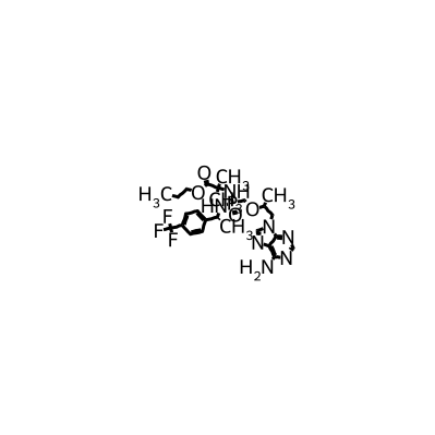 CCCOC(=O)C(C)(C)NP(=O)(COC(C)Cn1cnc2c(N)ncnc21)N[C@H](C)c1ccc(C(F)(F)F)cc1